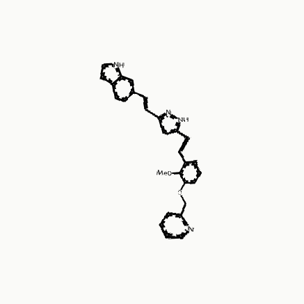 COc1c(C=Cc2cc(C=Cc3ccc4cc[nH]c4c3)n[nH]2)cccc1OCc1ccccn1